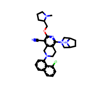 CN1CCCC1COc1nc(N2CC3CCC(C2)N3)c2c(c1C#N)CN(c1cccc3cccc(Cl)c13)CC2